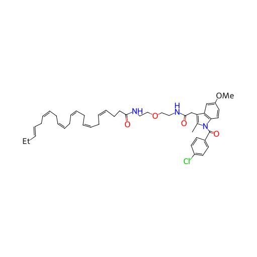 CCC=CC/C=C\C/C=C\C/C=C\C/C=C\C/C=C\CCC(=O)NCCOCCNC(=O)Cc1c(C)n(C(=O)c2ccc(Cl)cc2)c2ccc(OC)cc12